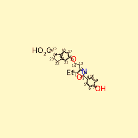 CCc1oc(-c2ccc(O)cc2)nc1CCOc1ccc2c(c1)CC[C@@H]2CC(=O)O